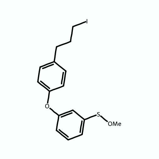 COSc1cccc(Oc2ccc(CCCI)cc2)c1